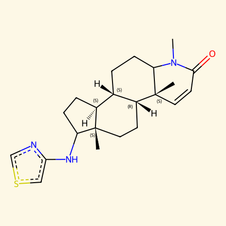 CN1C(=O)C=C[C@@]2(C)C1CC[C@@H]1[C@H]2CC[C@]2(C)C(Nc3cscn3)CC[C@@H]12